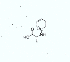 C[C@H](N[13c]1ccccc1)C(=O)O